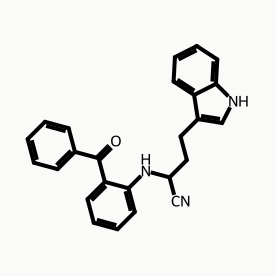 N#CC(CCc1c[nH]c2ccccc12)Nc1ccccc1C(=O)c1ccccc1